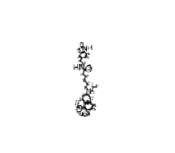 CCCN(CCCCCC(=O)NCCc1ccc2[nH]c(=O)sc2c1)[C@H]1CCc2c(ccc(OC)c2OC)C1